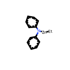 C[CH2][Zn][N](c1ccccc1)c1ccccc1